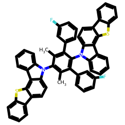 Cc1c(-c2cccc(F)c2)c(-n2c3ccccc3c3c4sc5ccccc5c4ccc32)c(-c2cccc(F)c2)c(C)c1-n1c2ccccc2c2c3sc4ccccc4c3ccc21